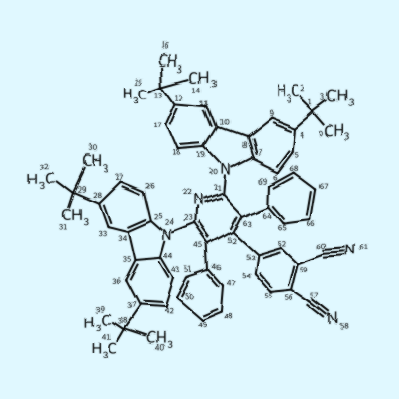 CC(C)(C)c1ccc2c(c1)c1cc(C(C)(C)C)ccc1n2-c1nc(-n2c3ccc(C(C)(C)C)cc3c3cc(C(C)(C)C)ccc32)c(-c2ccccc2)c(-c2ccc(C#N)c(C#N)c2)c1-c1ccccc1